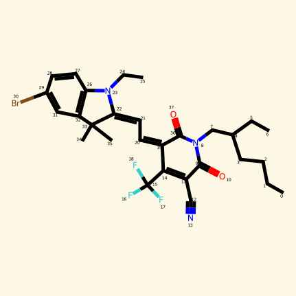 CCCCC(CC)CN1C(=O)C(C#N)=C(C(F)(F)F)/C(=C/C=C2/N(CC)c3ccc(Br)cc3C2(C)C)C1=O